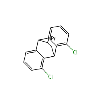 CCCC1CC2c3c(Cl)cccc3C1c1cccc(Cl)c12